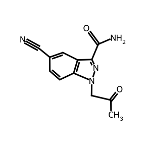 CC(=O)Cn1nc(C(N)=O)c2cc(C#N)ccc21